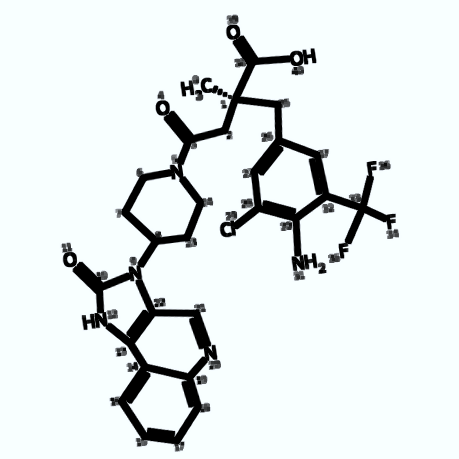 C[C@@](CC(=O)N1CCC(n2c(=O)[nH]c3c4ccccc4ncc32)CC1)(Cc1cc(Cl)c(N)c(C(F)(F)F)c1)C(=O)O